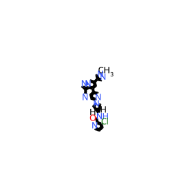 Cn1cc(-c2cc(-c3ccc(N4C[C@@H]5C(NC(=O)c6ncccc6Cl)[C@@H]5C4)nc3)c3c(C#N)cnn3c2)cn1